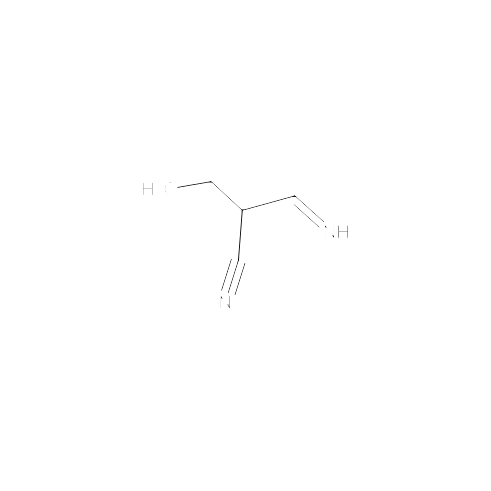 CCC(C#N)C=N